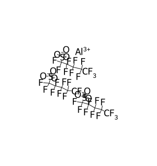 O=S(=O)([O-])C(F)(F)C(F)(F)C(F)(F)C(F)(F)C(F)(F)F.O=S(=O)([O-])C(F)(F)C(F)(F)C(F)(F)C(F)(F)C(F)(F)F.O=S(=O)([O-])C(F)(F)C(F)(F)C(F)(F)C(F)(F)C(F)(F)F.[Al+3]